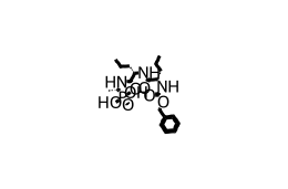 CCC[C@H](NC(=O)OCc1ccccc1)C(=O)N[C@@H](CCC)C(=O)N[C@@H](C)P(=O)(O)O